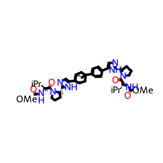 COC(=O)N[C@H](C(=O)N1CCC[C@H]1c1ncc(C23CCC(c4ccc(-c5cnc([C@@H]6CCCN6C(=O)[C@H](NC(=O)OC)C(C)C)[nH]5)cc4)(CC2)CC3)[nH]1)C(C)C